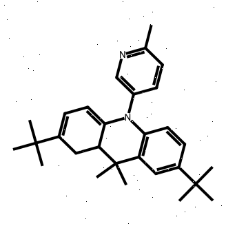 Cc1ccc(N2C3=CC=C(C(C)(C)C)CC3C(C)(C)c3cc(C(C)(C)C)ccc32)cn1